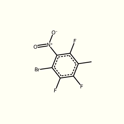 Cc1c(F)c(F)c(Br)c([N+](=O)[O-])c1F